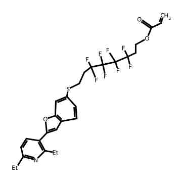 C=CC(=O)OCCC(F)(F)C(F)(F)C(F)(F)C(F)(F)CCSc1ccc2cc(-c3ccc(CC)nc3CC)oc2c1